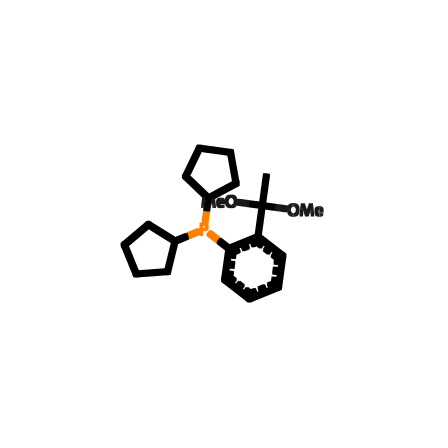 COC(C)(OC)c1ccccc1P(C1CCCC1)C1CCCC1